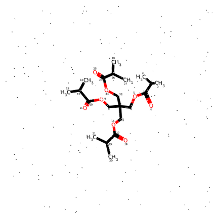 CC(C)C(=O)OCC(COC(=O)C(C)C)(COC(=O)C(C)C)COC(=O)C(C)C